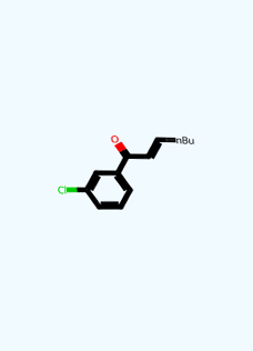 CCCC/C=C/C(=O)c1cccc(Cl)c1